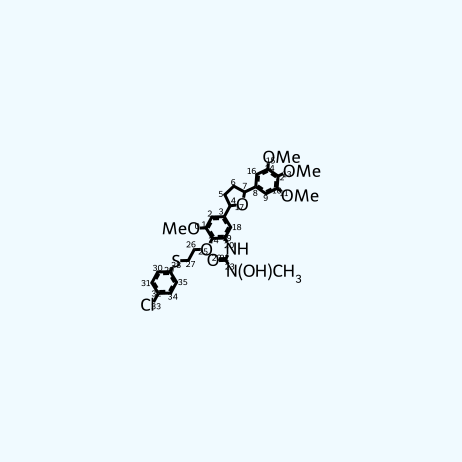 COc1cc(C2CCC(c3cc(OC)c(OC)c(OC)c3)O2)cc(NC(=O)N(C)O)c1OCCSc1ccc(Cl)cc1